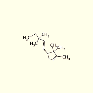 C[CH]C(C)(C)/C=C/[C@@H]1CC=C(C)C1(C)C